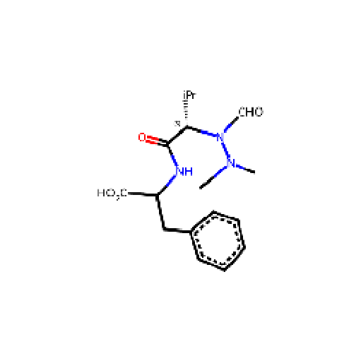 CC(C)[C@@H](C(=O)NC(Cc1ccccc1)C(=O)O)N(C=O)N(C)C